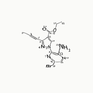 CC#Cc1nn(-c2nc(Br)cnc2N)cc1C(=O)OCC